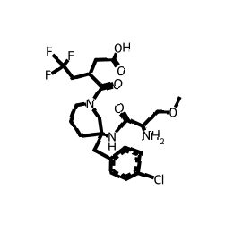 COCC(N)C(=O)NC1(Cc2ccc(Cl)cc2)CCCN(C(=O)C(CC(=O)O)CC(F)(F)F)C1